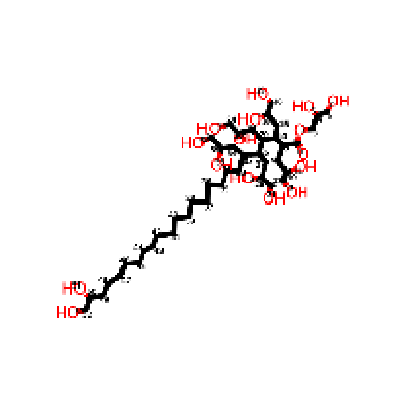 O=C(OCC(O)CO)C(CC(O)CO)C(CC(O)CO)C(CC(O)CO)C(CC(O)CO)C(CCCCCCCCCCCCCCCCCC(O)CO)CC(O)CO